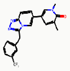 Cc1cc(-c2ccc3nnc(Cc4cccc(C(F)(F)F)c4)n3c2)cn(C)c1=O